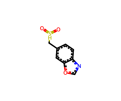 O=[SH](=O)Cc1ccc2ncoc2c1